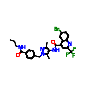 CCCNC(=O)c1ccc(Cn2nc(C)c(NC(=O)c3cc(C(F)(F)F)nc4ccc(Br)cc34)c2C)cc1